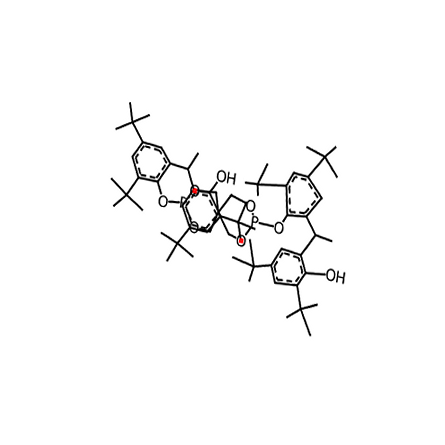 CC(c1cc(C(C)(C)C)cc(C(C)(C)C)c1O)c1cc(C(C)(C)C)cc(C(C)(C)C)c1OP1OCC2(CO1)COP(Oc1c(C(C)c3cc(C(C)(C)C)cc(C(C)(C)C)c3O)cc(C(C)(C)C)cc1C(C)(C)C)OC2